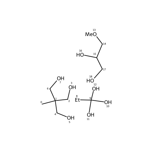 CC(CO)(CO)CO.CCC(O)(O)O.COCC(O)CO